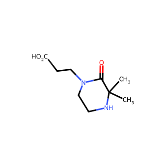 CC1(C)NCCN(CCC(=O)O)C1=O